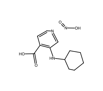 O=C(O)c1ccncc1NC1CCCCC1.O=NO